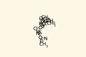 CCOc1ccc(-c2nnc(-c3cc(F)c(OCC4COC(C)(C)N4C(=O)OC(C)(C)C)cc3Cl)s2)cc1C#N